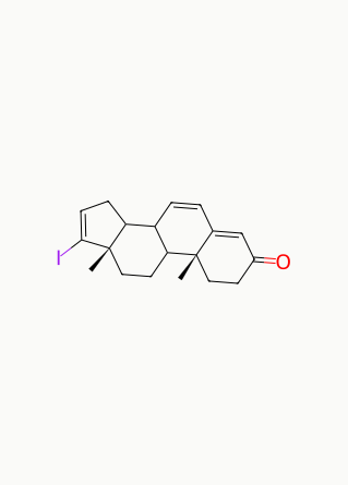 C[C@]12CCC(=O)C=C1C=CC1C2CC[C@]2(C)C(I)=CCC12